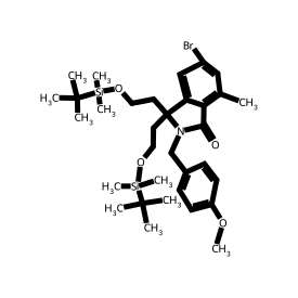 COc1ccc(CN2C(=O)c3c(C)cc(Br)cc3C2(CCO[Si](C)(C)C(C)(C)C)CCO[Si](C)(C)C(C)(C)C)cc1